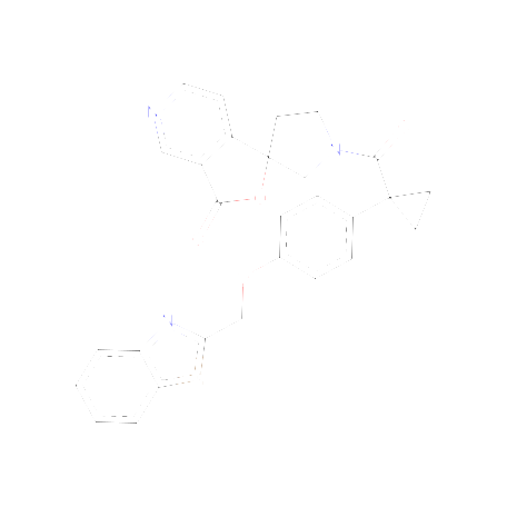 O=C1OC2(CCN(C(=O)C3(c4ccc(OCc5nc6ccccc6s5)cc4)CC3)C2)c2ccncc21